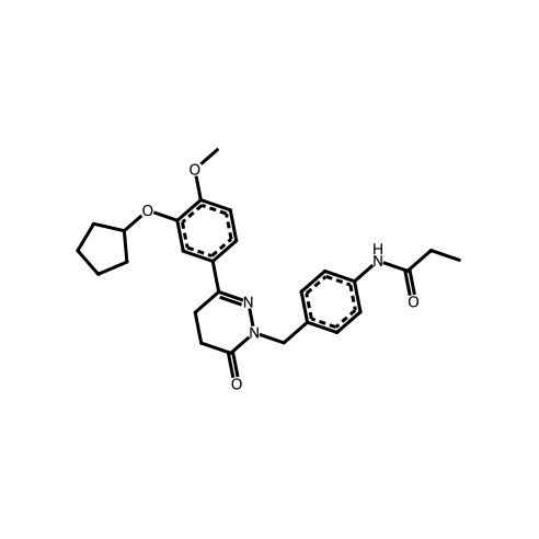 CCC(=O)Nc1ccc(CN2N=C(c3ccc(OC)c(OC4CCCC4)c3)CCC2=O)cc1